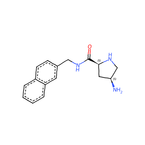 N[C@@H]1CN[C@H](C(=O)NCc2ccc3ccccc3c2)C1